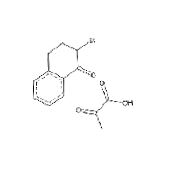 CC(=O)C(=O)O.CCC1CCc2ccccc2C1=O